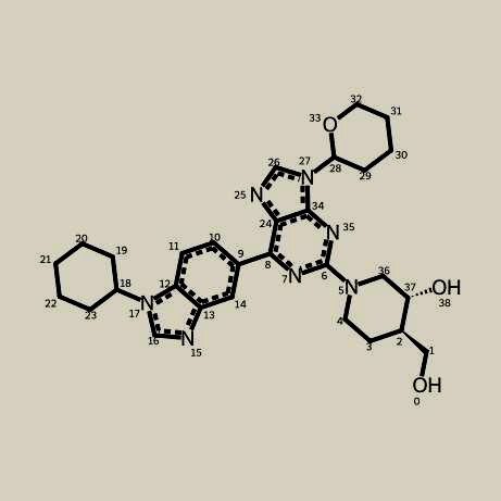 OC[C@H]1CCN(c2nc(-c3ccc4c(c3)ncn4C3CCCCC3)c3ncn(C4CCCCO4)c3n2)C[C@@H]1O